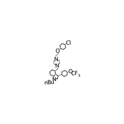 CCCCn1cc(-c2ccc(OC(F)(F)F)cc2)c2c(CN3CCN(CCOc4ccc(Cl)cc4)CC3)cccc21